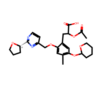 CC(=O)OC(Cc1cc(OC2CCCCO2)c(C)cc1OCc1ccnc([C@@H]2CCCO2)n1)C(=O)O